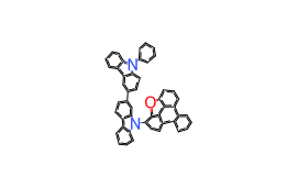 c1ccc(-n2c3ccccc3c3cc(-c4ccc5c6ccccc6n(-c6ccc7c8ccccc8c8cccc9oc6c7c98)c5c4)ccc32)cc1